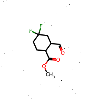 COC(=O)C1CCC(F)(F)CC1C=O